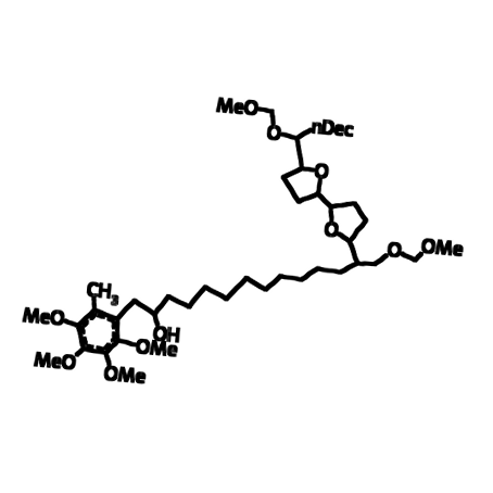 CCCCCCCCCCC(OCOC)C1CCC(C2CCC(C(CCCCCCCCCCC(O)Cc3c(C)c(OC)c(OC)c(OC)c3OC)COCOC)O2)O1